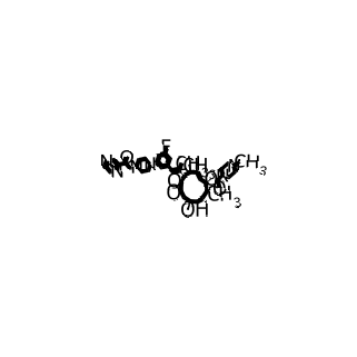 C/C(=C\c1cc(F)cc(N2CCN(CC(=O)c3cnccn3)CC2)c1)[C@H]1C(=O)C(=O)C[C@H](O)CC[C@H](C)[C@@H](OC(=O)N2CCN(C)CC2)/C=C/[C@@H]1C